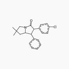 CC1(C)CC2C(c3ccccc3)C(c3ccc(Cl)cc3)C(=O)N2C1